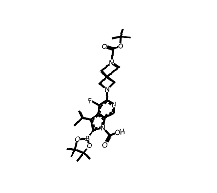 CC(C)c1c(B2OC(C)(C)C(C)(C)O2)n(C(=O)O)c2cnc(N3CC4(CN(C(=O)OC(C)(C)C)C4)C3)c(F)c12